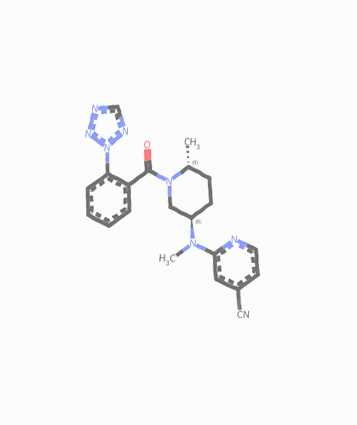 C[C@@H]1CC[C@@H](N(C)c2cc(C#N)ccn2)CN1C(=O)c1ccccc1-n1ncnn1